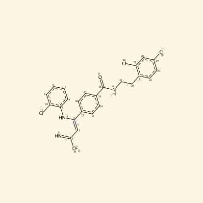 N=C(/C=C(\Nc1ccccc1Cl)c1ccc(C(=O)NCCc2ccc(Cl)cc2Cl)cc1)C(F)(F)F